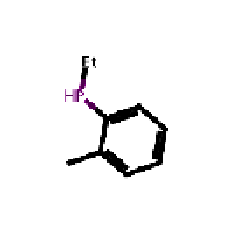 CCPc1ccccc1C